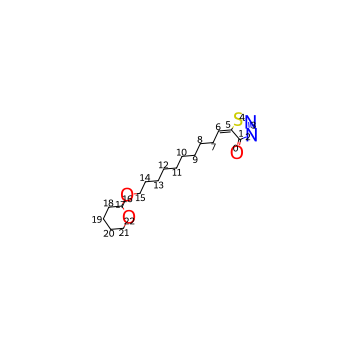 O=C1N=NSC1=CCCCCCCCCCOC1CCCCO1